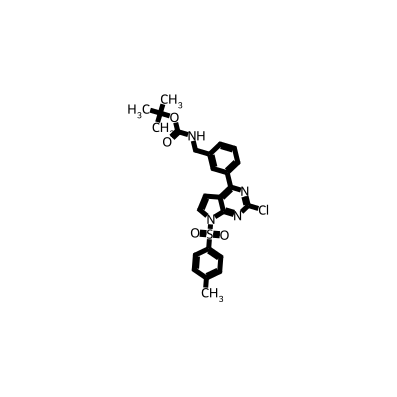 Cc1ccc(S(=O)(=O)n2ccc3c(-c4cccc(CNC(=O)OC(C)(C)C)c4)nc(Cl)nc32)cc1